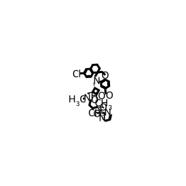 C[C@H](CC(=O)N(C)C[C@@H]1CC[C@H]1CN1CC2(CCCc3cc(Cl)ccc32)COc2ccc(C(=O)O)cc21)[C@H](C)S(=O)(=O)c1ncccn1